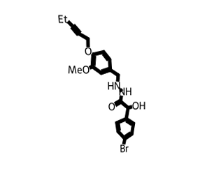 CCC#CCOc1ccc(CNNC(=O)C(O)c2ccc(Br)cc2)cc1OC